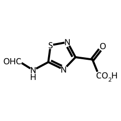 O=CNc1nc(C(=O)C(=O)O)ns1